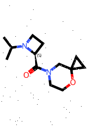 CC(C)N1CC[C@H]1C(=O)N1CCOC2(CC2)C1